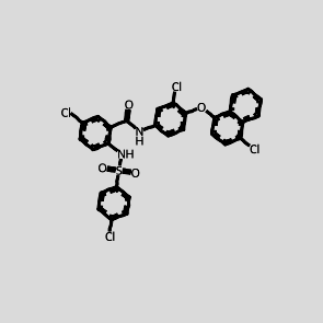 O=C(Nc1ccc(Oc2ccc(Cl)c3ccccc23)c(Cl)c1)c1cc(Cl)ccc1NS(=O)(=O)c1ccc(Cl)cc1